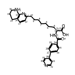 O=C(N[C@@H](CCCCCCCc1ccc2c(n1)NCCC2)C(=O)O)c1ccc(-c2ccncc2)cc1